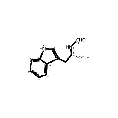 O=CN[C@@H](Cc1c[nH]c2ccccc12)C(=O)O